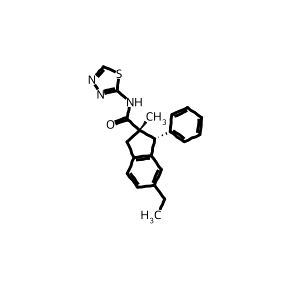 CCc1ccc2c(c1)[C@@H](c1ccccc1)[C@@](C)(C(=O)Nc1nncs1)C2